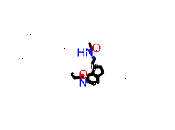 CCc1nc2ccc3c(c2o1)[C@@H](CCNC(C)=O)CC3